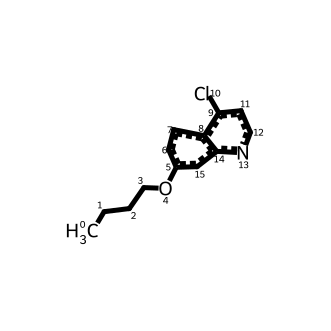 CCCCOc1ccc2c(Cl)ccnc2c1